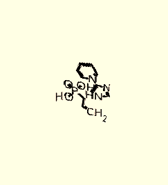 C=CCP(=O)(O)O.c1c[nH]cn1.c1ccncc1